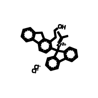 C[C](C)=[Zr+2][C]1(c2ccc3c(c2CCO)Cc2ccccc2-3)c2ccccc2-c2ccccc21.[Cl-].[Cl-]